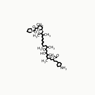 COC(C[C@@H]1CC[C@@H](C)C(C(=O)C(=O)N2CCCCC2)O1)/C(C)=C/C=C/C=C/C(C)CC(C)C(=O)CC(O)/C(C)=C/C(C)C(=O)CC(CCC1CCC(N)CC1)OC=O